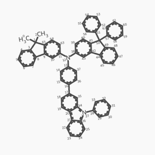 CC1(C)c2ccccc2-c2cc(N(c3ccc(-c4ccc5c6ccccc6n(-c6ccccc6)c5c4)cc3)c3ccc4c(c3)-c3ccccc3C4(c3ccccc3)c3ccccc3)ccc21